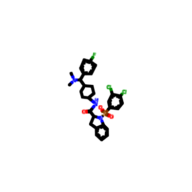 CN(C)C(c1ccc(F)cc1)C1CCC(NC(=O)C2Cc3ccccc3N2S(=O)(=O)c2ccc(Cl)c(Cl)c2)CC1